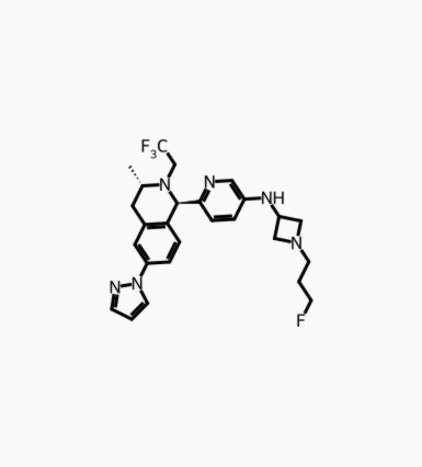 C[C@H]1Cc2cc(-n3cccn3)ccc2[C@H](c2ccc(NC3CN(CCCF)C3)cn2)N1CC(F)(F)F